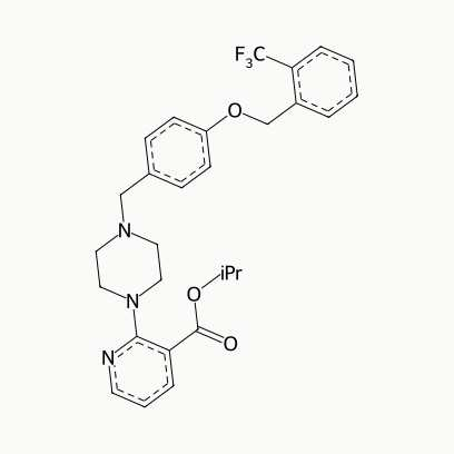 CC(C)OC(=O)c1cccnc1N1CCN(Cc2ccc(OCc3ccccc3C(F)(F)F)cc2)CC1